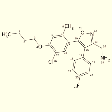 CCCCOc1cc(C)c(-c2onc(CN)c2-c2ccc(F)cc2)cc1Cl